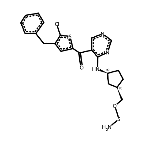 NSOC[C@@H]1CC[C@H](Nc2ncncc2C(=O)c2cc(Cc3ccccc3)c(Cl)s2)C1